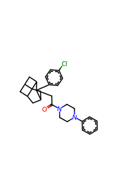 O=C(CC1(c2ccc(Cl)cc2)C2CC3CC4CC1C34C2)N1CCN(c2ccccc2)CC1